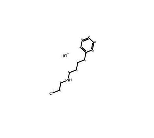 Cl.ClCCNCCCCc1ccccc1